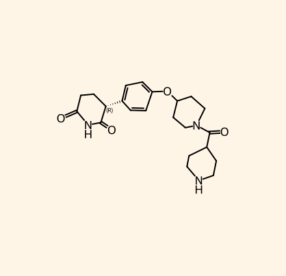 O=C1CC[C@H](c2ccc(OC3CCN(C(=O)C4CCNCC4)CC3)cc2)C(=O)N1